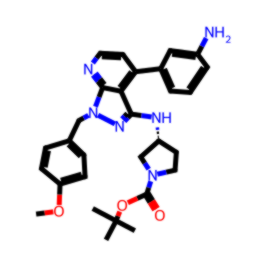 COc1ccc(Cn2nc(N[C@@H]3CCN(C(=O)OC(C)(C)C)C3)c3c(-c4cccc(N)c4)ccnc32)cc1